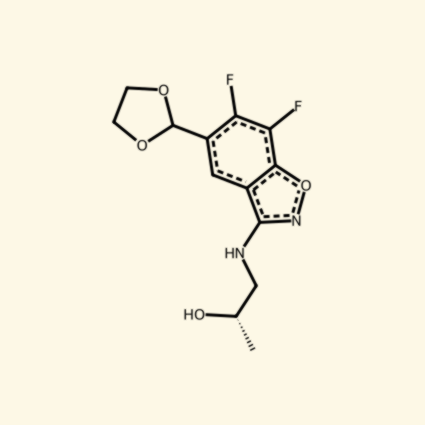 C[C@H](O)CNc1noc2c(F)c(F)c(C3OCCO3)cc12